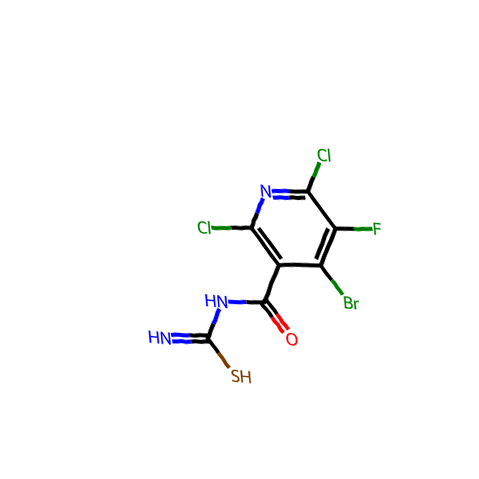 N=C(S)NC(=O)c1c(Cl)nc(Cl)c(F)c1Br